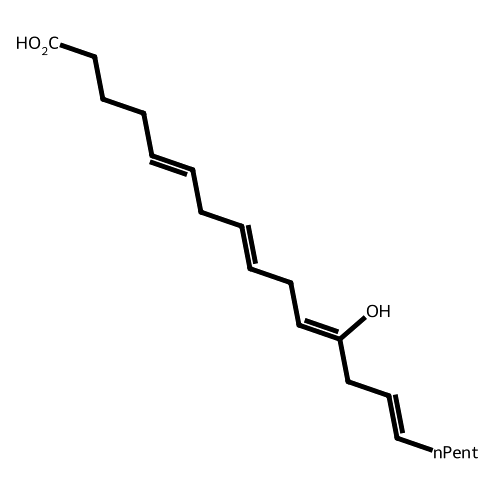 CCCCCC=CCC(O)=CCC=CCC=CCCCC(=O)O